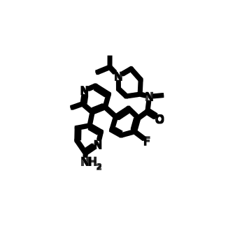 Cc1nccc(-c2ccc(F)c(C(=O)N(C)C3CCN(C(C)C)CC3)c2)c1-c1ccc(N)nc1